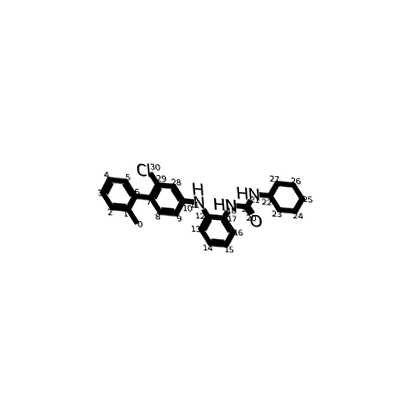 Cc1ccccc1-c1ccc(Nc2ccccc2NC(=O)NC2CCCCC2)cc1Cl